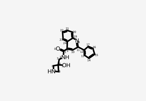 O=C(NCC1(O)CNC1)c1cc(-c2ccccc2)nc2ccccc12